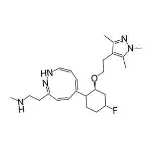 CNCCc1ccc(C2CCC(F)C[C@@H]2OCCc2c(C)nn(C)c2C)ccc[nH]n1